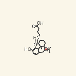 CO[C@@]12CC[C@@H](NCCCC(=O)O)[C@@H]3Oc4c(O)ccc(c4C31C)CC2N(C)C